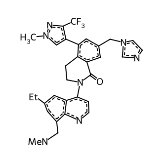 CCc1cc(CNC)c2nccc(N3CCc4c(cc(Cn5ccnc5)cc4-c4cn(C)nc4C(F)(F)F)C3=O)c2c1